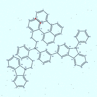 c1ccc(-c2cccc3cccc(-c4ccccc4CCN(c4cccc(-c5ccc6c(c5)c5ccccc5n6-c5ccccc5)c4)c4ccccc4CCn4c5ccccc5c5ccccc54)c23)cc1